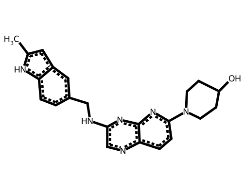 Cc1cc2cc(CNc3cnc4ccc(N5CCC(O)CC5)nc4n3)ccc2[nH]1